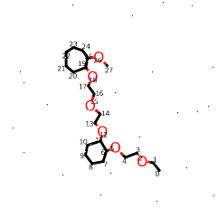 CCOCCOC1CCCCC1OCCOCCOC1CCCCCC1OC